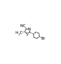 Cc1sc(-c2ccc(Br)cc2)nc1C#N